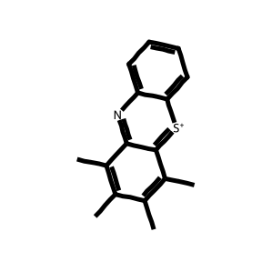 Cc1c(C)c(C)c2[s+]c3ccccc3nc2c1C